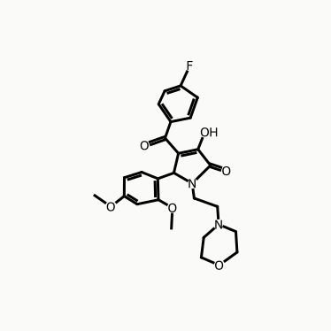 COc1ccc(C2C(C(=O)c3ccc(F)cc3)=C(O)C(=O)N2CCN2CCOCC2)c(OC)c1